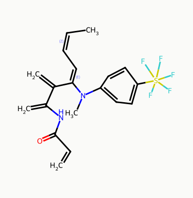 C=CC(=O)NC(=C)C(=C)/C(=C\C=C/C)N(C)c1ccc(S(F)(F)(F)(F)F)cc1